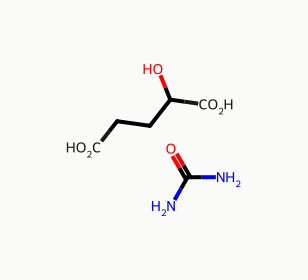 NC(N)=O.O=C(O)CCC(O)C(=O)O